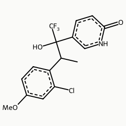 COc1ccc(C(C)C(O)(c2ccc(=O)[nH]c2)C(F)(F)F)c(Cl)c1